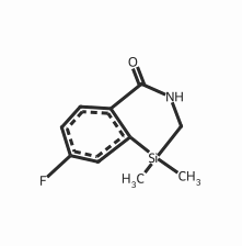 C[Si]1(C)CNC(=O)c2ccc(F)cc21